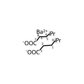 CC(C)CCC(=O)[O-].CC(C)CCC(=O)[O-].[Ba+2]